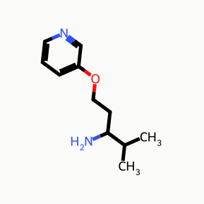 CC(C)C(N)CCOc1cccnc1